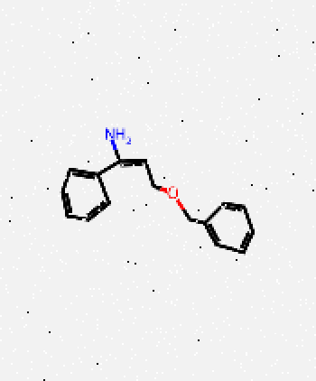 N/C(=C/COCc1ccccc1)c1ccccc1